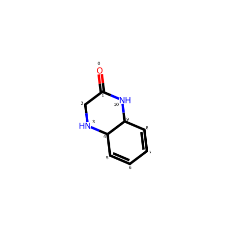 O=C1CNC2C=CC=CC2N1